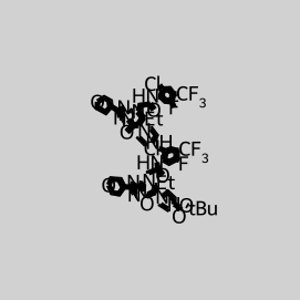 CCc1c(N2CCN(C(=O)OC(C)(C)C)CC2)c(=O)n2nc(C3=CCOCC3)nc2n1CC(=O)Nc1cc(F)c(C(F)(F)F)cc1Cl.CCc1c(N2CCNCC2)c(=O)n2nc(C3=CCOCC3)nc2n1CC(=O)Nc1cc(F)c(C(F)(F)F)cc1Cl